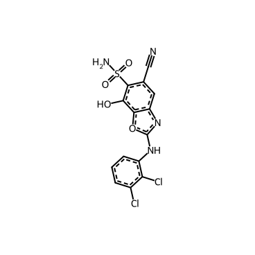 N#Cc1cc2nc(Nc3cccc(Cl)c3Cl)oc2c(O)c1S(N)(=O)=O